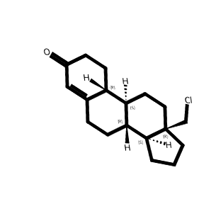 O=C1C=C2CC[C@@H]3[C@H](CC[C@]4(CCl)CCC[C@@H]34)[C@H]2CC1